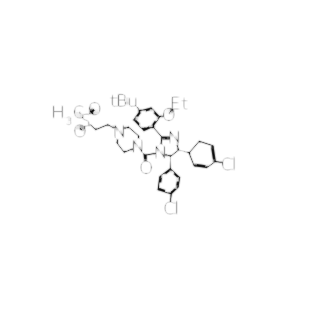 CCOc1cc(C(C)(C)C)ccc1C1=N[C@@H](C2C=CC(Cl)=CC2)[C@@H](c2ccc(Cl)cc2)N1C(=O)N1CCN(CCS(C)(=O)=O)CC1